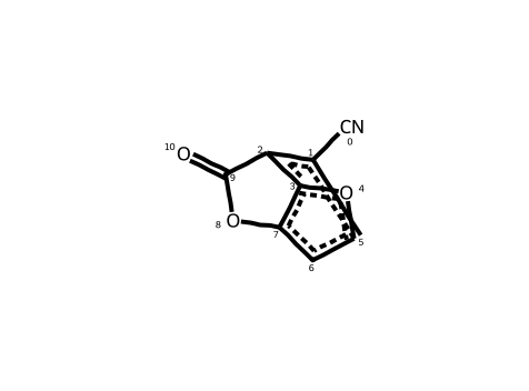 N#Cc1c2c3oc1cc3OC2=O